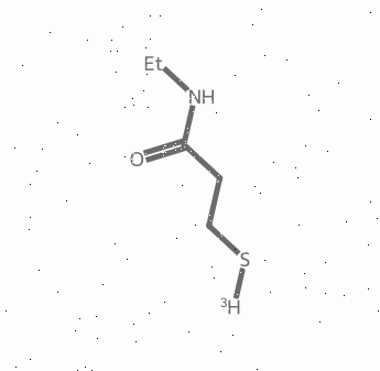 [3H]SCCC(=O)NCC